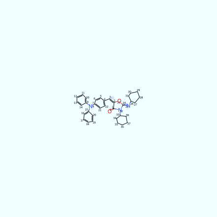 O=C1/C(=C\c2ccc(N(c3ccccc3)c3ccccc3)cc2)O/C(=N\C2CCCCC2)N1C1CCCCC1